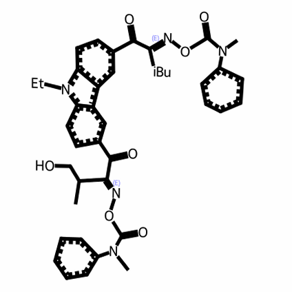 CCC(C)/C(=N\OC(=O)N(C)c1ccccc1)C(=O)c1ccc2c(c1)c1cc(C(=O)/C(=N/OC(=O)N(C)c3ccccc3)C(C)CO)ccc1n2CC